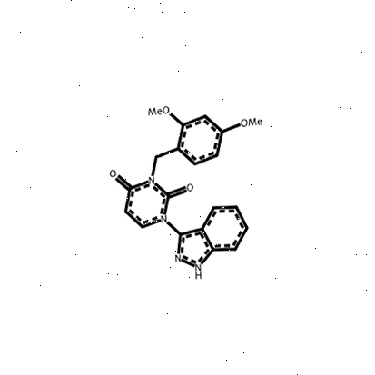 COc1ccc(Cn2c(=O)ccn(-c3n[nH]c4ccccc34)c2=O)c(OC)c1